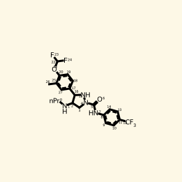 CCCNC1CN(C(=O)Nc2ccc(C(F)(F)F)cc2)NC1c1ccc(OC(F)F)c(C)c1